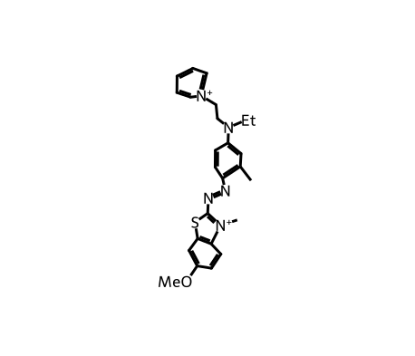 CCN(CC[n+]1ccccc1)c1ccc(/N=N/c2sc3cc(OC)ccc3[n+]2C)c(C)c1